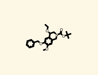 CCOC1CN(C(=O)OC(C)(C)C)Cc2cc(OC)c(OCc3ccccc3)cc21